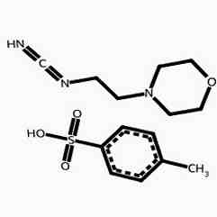 Cc1ccc(S(=O)(=O)O)cc1.N=C=NCCN1CCOCC1